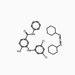 C(=NC1CCCCC1)=NC1CCCCC1.O=C(Nc1ccccc1)c1ccc(O)c(Nc2cc(Cl)cc(Cl)c2)c1